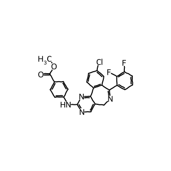 COC(=O)c1ccc(Nc2ncc3c(n2)-c2ccc(Cl)cc2C(c2cccc(F)c2F)=NC3)cc1